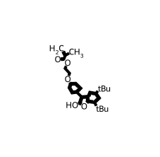 C=C(C)C(=O)OCCOc1ccc(-c2c(O)oc3c(C(C)(C)C)cc(C(C)(C)C)cc23)cc1